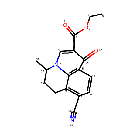 CCOC(=O)c1cn2c3c(c(C#N)ccc3c1=O)CCC2C